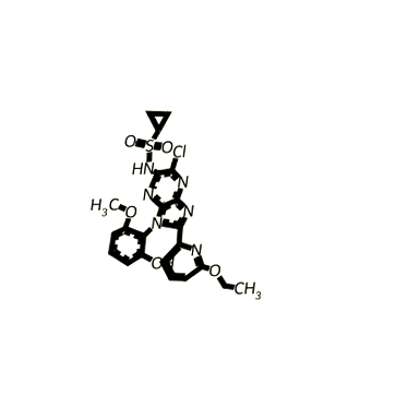 CCOC1=NC(c2nc3nc(Cl)c(NS(=O)(=O)C4CC4)nc3n2-c2c(O)cccc2OC)=C=C=C1